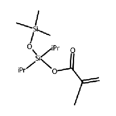 C=C(C)C(=O)O[Si](O[Si](C)(C)C)(C(C)C)C(C)C